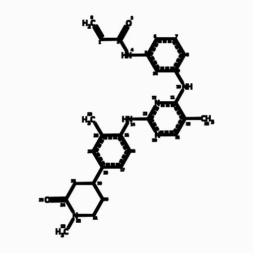 C=CC(=O)Nc1cccc(Nc2nc(Nc3ccc(C4CCN(C)C(=O)C4)cc3C)ncc2C)c1